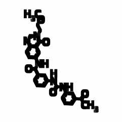 COCCn1cnc2ccc(NC(=O)c3cccc(NC(=O)Nc4cccc(C(C)=O)c4)c3)cc2c1=O